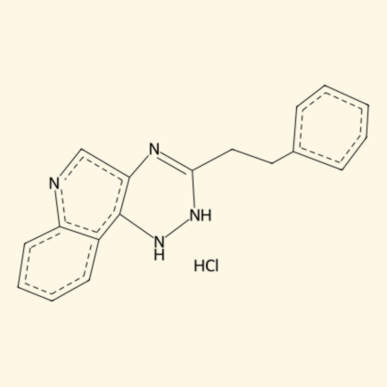 Cl.c1ccc(CCC2=Nc3cnc4ccccc4c3NN2)cc1